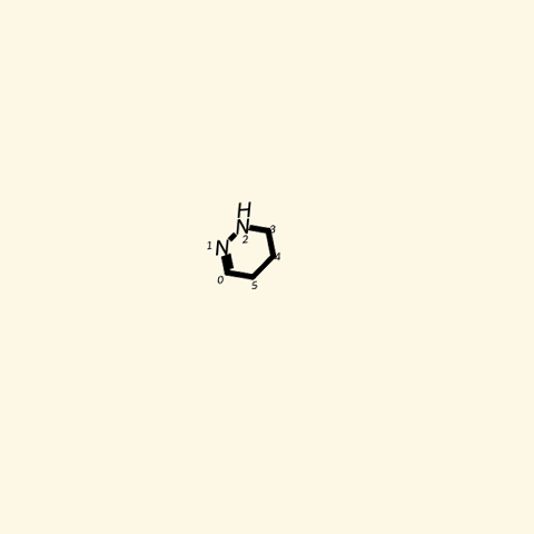 C1=NNCCC1